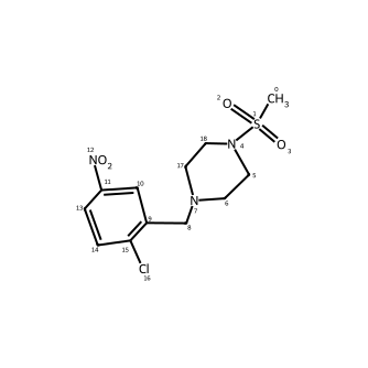 CS(=O)(=O)N1CCN(Cc2cc([N+](=O)[O-])ccc2Cl)CC1